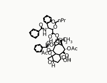 CCCC(=O)OC(C(=O)OC1C[C@]2(O)[C@H](OC(=O)c3ccccc3)C3[C@@]4(OC(C)=O)CO[C@H]4C[C@@H](O)[C@]3(C)C(=O)[C@@H](OC(C)=O)C(=C1C)C2(C)C)[C@H](NC(=O)c1ccccc1)c1ccccc1